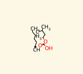 C#CCCCCC.CC(C)CCOC(=O)O